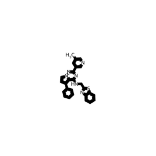 Cc1cncc(-c2nc(NCc3nc4ccccc4s3)c3c(-c4ccccc4)ccn3n2)c1